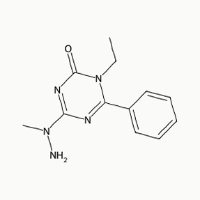 CCn1c(-c2ccccc2)nc(N(C)N)nc1=O